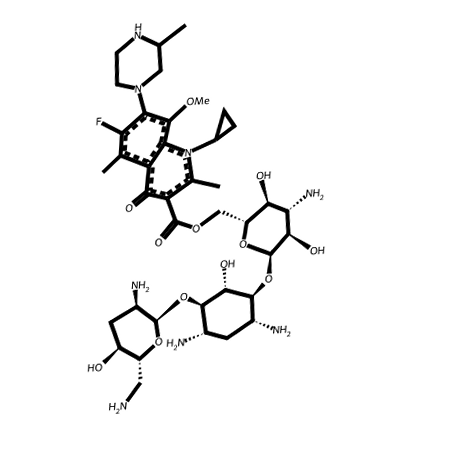 COc1c(N2CCNC(C)C2)c(F)c(C)c2c(=O)c(C(=O)OC[C@H]3O[C@H](O[C@@H]4[C@@H](O)[C@H](O[C@H]5O[C@H](CN)[C@@H](O)C[C@H]5N)[C@@H](N)C[C@H]4N)[C@H](O)[C@@H](N)[C@@H]3O)c(C)n(C3CC3)c12